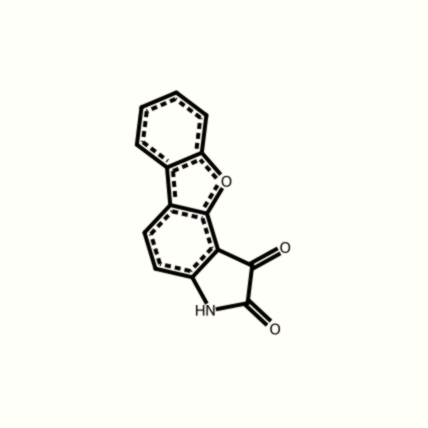 O=C1Nc2ccc3c(oc4ccccc43)c2C1=O